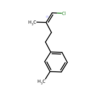 C/C(=C/Cl)CCc1cccc(C)c1